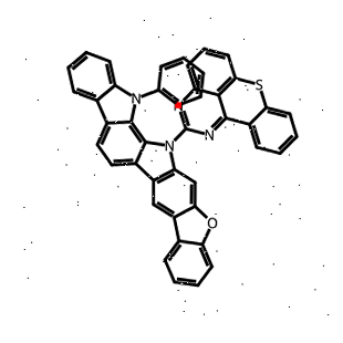 c1ccc(-n2c3ccccc3c3ccc4c5cc6c(cc5n(-c5nc7c8c(cccc8n5)Sc5ccccc5-7)c4c32)oc2ccccc26)cc1